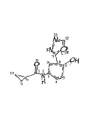 O=C(Nc1ccc(O)c(-c2nnco2)c1)C1CC1